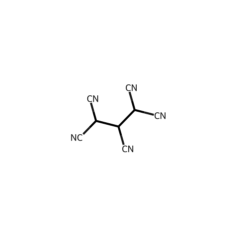 N#CC(C#N)C(C#N)C(C#N)C#N